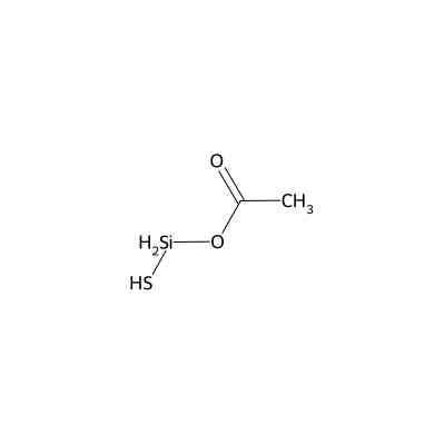 CC(=O)O[SiH2]S